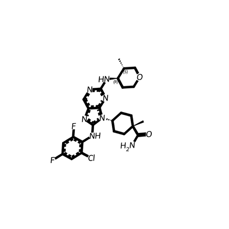 C[C@@H]1COCC[C@H]1Nc1ncc2nc(Nc3c(F)cc(F)cc3Cl)n([C@H]3CC[C@@](C)(C(N)=O)CC3)c2n1